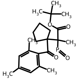 Cc1cc(C)c(C(=O)C2(C(C)(P=O)C(=O)OC(C)(C)C)CCCC2)c(C)c1